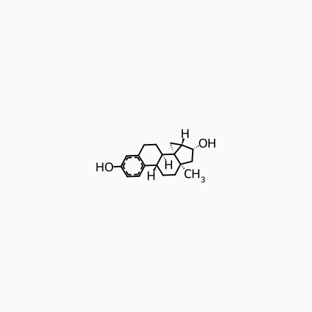 C[C@]12CC[C@@H]3c4ccc(O)cc4CC[C@H]3[C@]13C[C@@H]3[C@H](O)C2